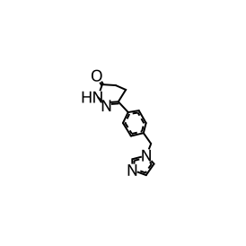 O=C1CCC(c2ccc(Cn3ccnc3)cc2)=NN1